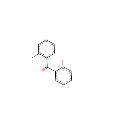 CCc1ccccc1C(=O)c1ccccc1O